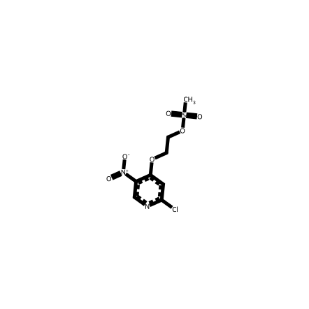 CS(=O)(=O)OCCOc1cc(Cl)ncc1[N+](=O)[O-]